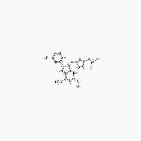 CCOc1nc(N)c2nc(-c3cncc(F)c3)n(Cc3cc(CN(C)C)no3)c2n1